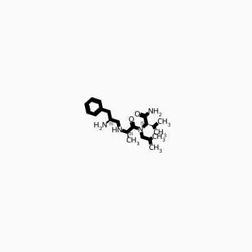 CC(C)CN(C(=O)[C@H](C)NC[C@@H](N)Cc1ccccc1)[C@H](C(N)=O)C(C)C